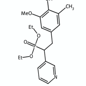 CCOP(=O)(OCC)C(Cc1cc(C)c(O)c(OC)c1)c1cccnc1